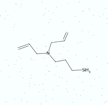 C=CCN(CC=C)CCC[SiH3]